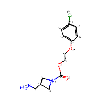 NCC1CN(C(=O)OCCOc2ccc(Cl)cc2)C1